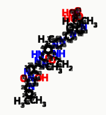 C=CC(=O)Nc1cc(Nc2nc(-c3ccnc(N4CCn5c(cc6c5CC(C)(C)C6)C4=O)c3CO)cn(C)c2=O)ccc1N1CCN(C2CCN(c3ccnc(C(C)(C)OP(=O)(O)O)c3)[C@@H](C)C2)C[C@@H]1C